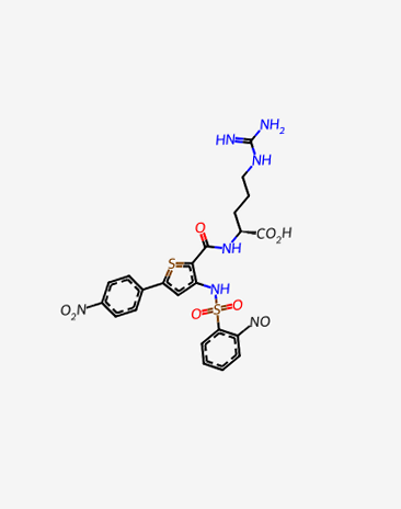 N=C(N)NCCC[C@H](NC(=O)c1sc(-c2ccc([N+](=O)[O-])cc2)cc1NS(=O)(=O)c1ccccc1N=O)C(=O)O